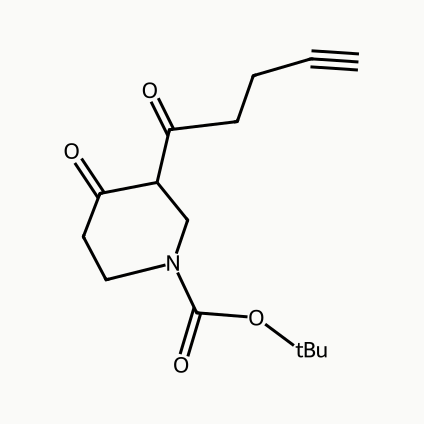 C#CCCC(=O)C1CN(C(=O)OC(C)(C)C)CCC1=O